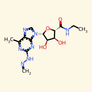 C=NNc1nc(C)c2ncn([C@@H]3O[C@H](C(=O)NCC)[C@@H](O)[C@H]3O)c2n1